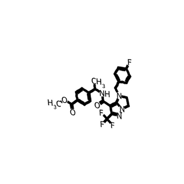 COC(=O)c1ccc(C(C)NC(=O)c2c(C(F)(F)F)nn3c2N(Cc2ccc(F)cc2)CC3)cc1